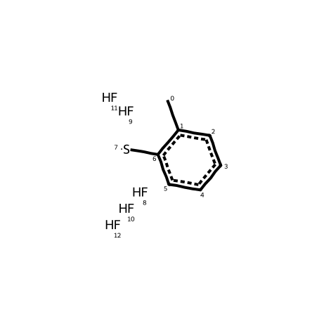 Cc1ccccc1[S].F.F.F.F.F